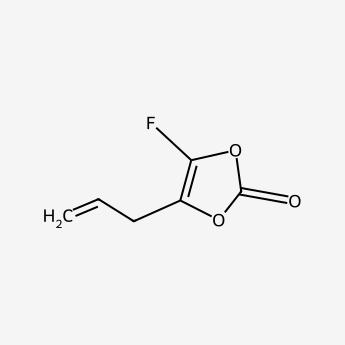 C=CCc1oc(=O)oc1F